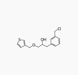 OC(COCc1ccsc1)Cc1cccc(CCl)c1